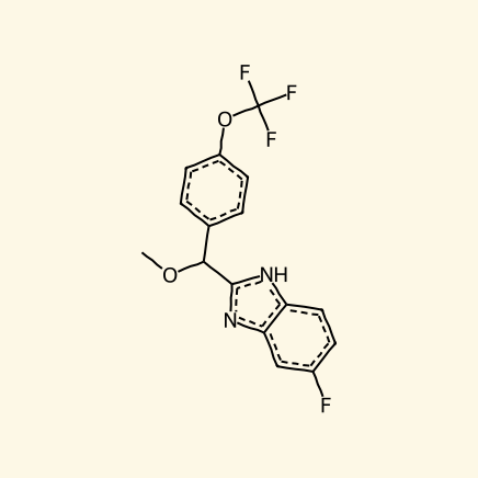 COC(c1ccc(OC(F)(F)F)cc1)c1nc2cc(F)ccc2[nH]1